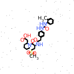 Cc1ccccc1NC(=O)Nc1ccc(CC(=O)NC(CCS(C)(=O)=O)C(=O)N2CCCCC2CC(=O)O)cc1